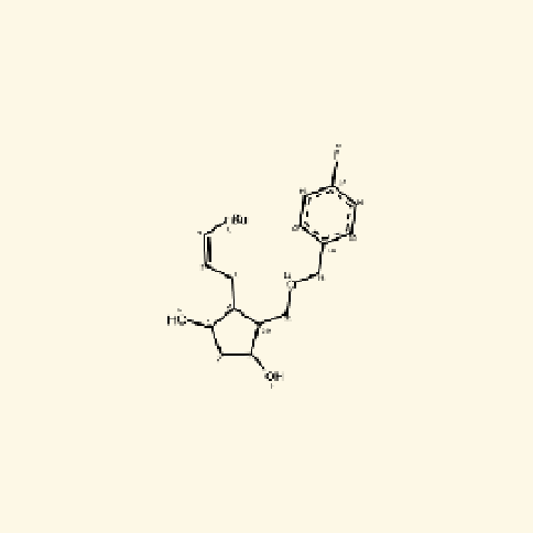 CCCC/C=C\CC1C(O)CC(O)C1COCc1ccc(F)cc1